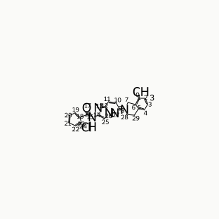 Cc1cccc2c1CN(c1ccc3nc(NC(=O)c4ccccc4Cl)cn3n1)CC2